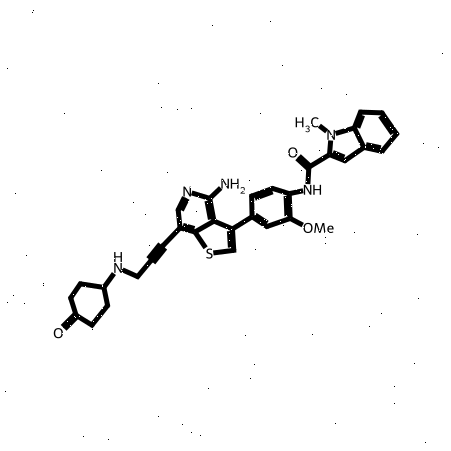 COc1cc(-c2csc3c(C#CCNC4CCC(=O)CC4)cnc(N)c23)ccc1NC(=O)c1cc2ccccc2n1C